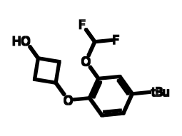 CC(C)(C)c1ccc(OC2CC(O)C2)c(OC(F)F)c1